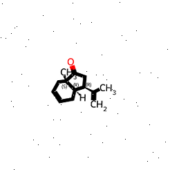 C=C(C)[C@@H]1CC(=O)[C@@]2(C)CC=CC[C@H]12